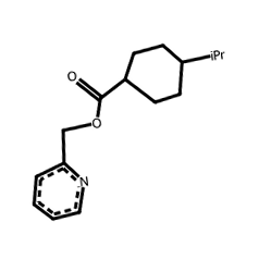 CC(C)C1CCC(C(=O)OCc2ccccn2)CC1